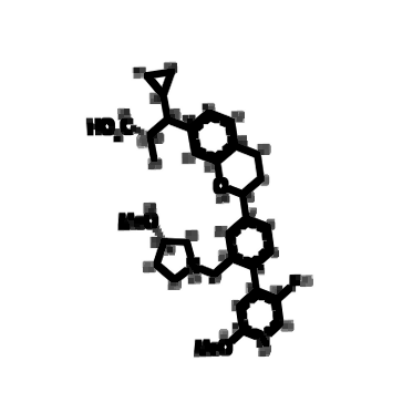 COc1cc(-c2ccc(C3CCc4ccc(C(C5CC5)[C@H](C)C(=O)O)cc4O3)cc2CN2CC[C@H](OC)C2)c(F)cn1